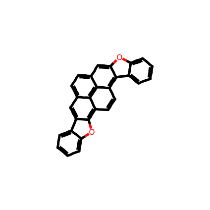 c1ccc2c(c1)oc1c2cc2ccc3cc4oc5ccccc5c4c4ccc1c2c34